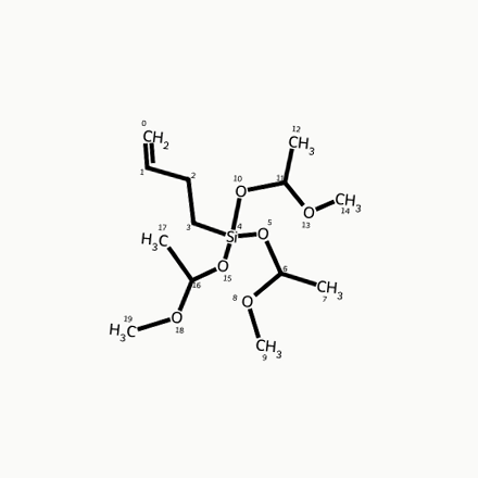 C=CCC[Si](OC(C)OC)(OC(C)OC)OC(C)OC